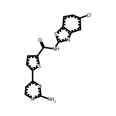 Nc1nccc(-c2ccc(C(=O)Nc3nc4cc(Cl)ccc4s3)s2)n1